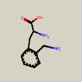 NCc1ccccc1CC(N)C(=O)O